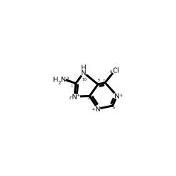 NC1=[N+]c2ncnc(Cl)c2N1